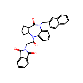 O=C1c2ccccc2C(=O)N1CC(=O)N1c2ccccc2N(Cc2ccc3ccccc3c2)C(=O)C2CCCC21